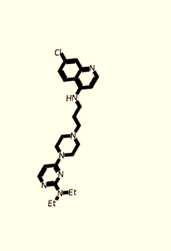 CCN(CC)c1nccc(N2CCN(CCCNc3ccnc4cc(Cl)ccc34)CC2)n1